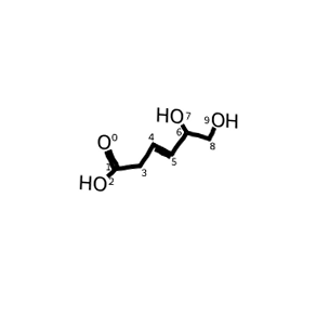 O=C(O)CC=CC(O)CO